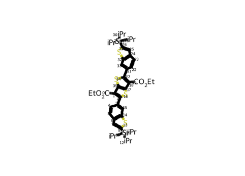 CCOC(=O)c1c(-c2ccc3cc([Si](C(C)C)(C(C)C)C(C)C)sc3c2)sc2c(C(=O)OCC)c(-c3ccc4cc([Si](C(C)C)(C(C)C)C(C)C)sc4c3)sc12